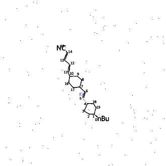 CCCC[C@H]1CC[C@H](/C=C/C2CCC(C=CC=CC#N)CC2)CC1